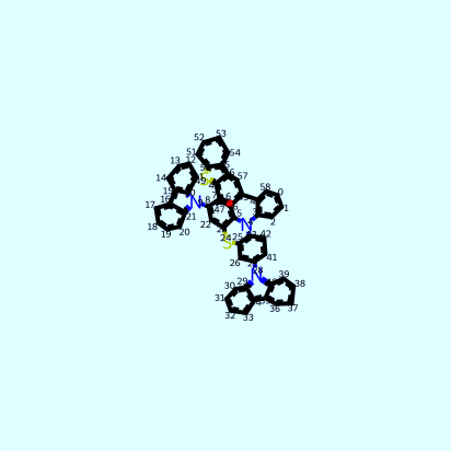 c1ccc(N2c3ccc(-n4c5ccccc5c5ccccc54)cc3Sc3cc(-n4c5ccccc5c5ccccc54)ccc32)c(-c2ccc3sc4ccccc4c3c2)c1